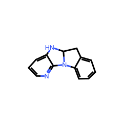 c1ccc2c(c1)CC1Nc3cccnc3N21